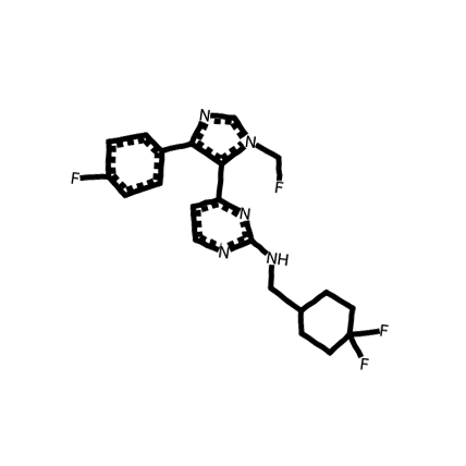 FCn1cnc(-c2ccc(F)cc2)c1-c1ccnc(NCC2CCC(F)(F)CC2)n1